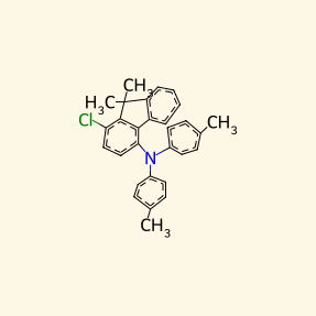 Cc1ccc(N(c2ccc(C)cc2)c2ccc(Cl)c3c2-c2ccccc2C3(C)C)cc1